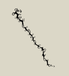 CCCOCCOCCOCCOCCOCCOCCOCCOCCC(=O)O